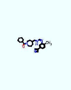 Cc1ccc(C2=CN=C2)cc1/N=C\NCC1CCCN(C(=O)C2CCCCC2)CC1